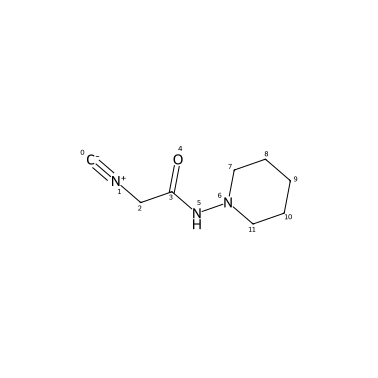 [C-]#[N+]CC(=O)NN1CCCCC1